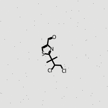 CC(C)(c1nc(C=O)cs1)C(Cl)CCl